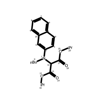 CCCCN(c1ccc2ccccc2c1)C(C(=O)OC(C)C)C(=O)OC(C)C